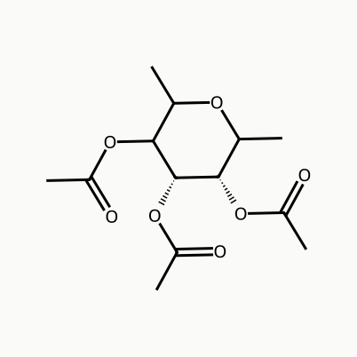 CC(=O)OC1C(C)OC(C)[C@H](OC(C)=O)[C@@H]1OC(C)=O